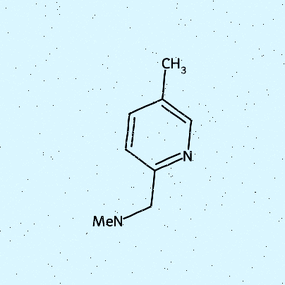 CNCc1ccc(C)cn1